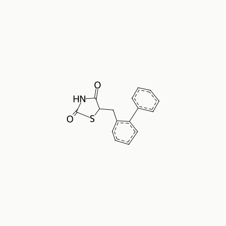 O=C1NC(=O)C(Cc2ccccc2-c2ccccc2)S1